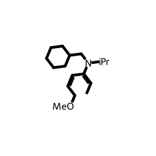 C/C=C(\C=C/COC)N(CC1CCCCC1)C(C)C